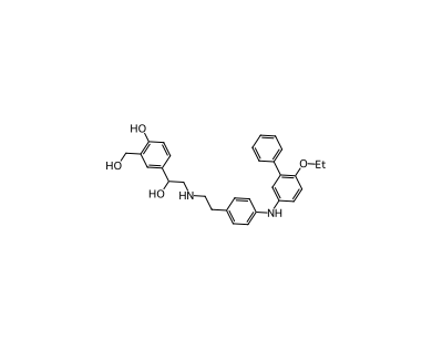 CCOc1ccc(Nc2ccc(CCNCC(O)c3ccc(O)c(CO)c3)cc2)cc1-c1ccccc1